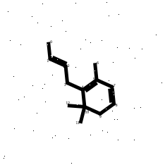 C/C=C/CC1=C(C)C=CCC1(C)C